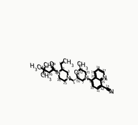 CCC1CN(C[C@H]2CN(c3ccc(C#N)c4ncccc34)C[C@@H](C)O2)CCN1C(=O)CC(C)(C)C